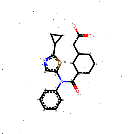 O=C(O)CC1CCCC(C(=O)N(c2ccccc2)c2cnc(C3CC3)s2)C1